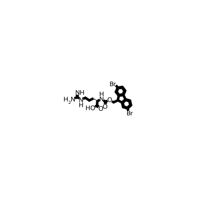 N=C(N)NCCC[C@H](NC(=O)OCC1c2cc(Br)ccc2-c2ccc(Br)cc21)C(=O)O